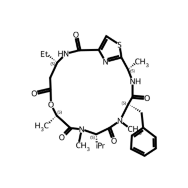 CC[C@H]1CC(=O)O[C@@H](C)C(=O)N(C)[C@@H](C(C)C)C(=O)N(C)[C@@H](Cc2ccccc2)C(=O)N[C@@H](C)c2nc(cs2)C(=O)N1